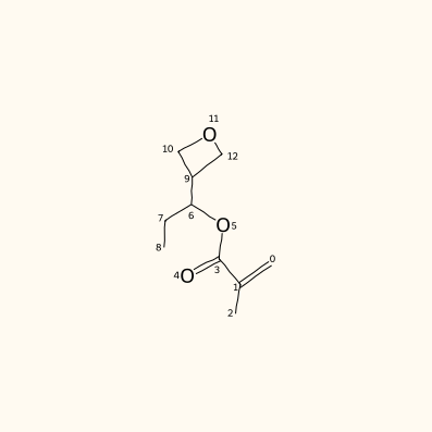 C=C(C)C(=O)OC(CC)C1COC1